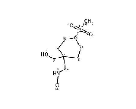 CS(=O)(=O)C1CCC(CO)(CNCl)CC1